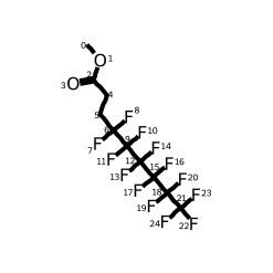 COC(=O)CCC(F)(F)C(F)(F)C(F)(F)C(F)(F)C(F)(F)C(F)(F)F